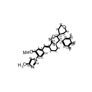 COc1cc(/C=C2\CCCN3C2=NOC(C2CCOCC2)[C@@H]3c2cc(F)c(F)c(F)c2)ccc1-n1cnc(C)c1